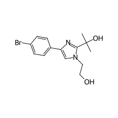 CC(C)(O)c1nc(-c2ccc(Br)cc2)cn1CCO